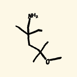 COC(C)(C)CC(C)(C)N